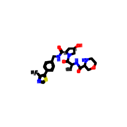 Cc1ncsc1-c1ccc(CNC(=O)[C@@H]2C[C@@H](O)CN2C(=O)C(NC(=O)C2COCCN2)C(C)(C)C)cc1